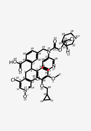 COc1ccc(C(Cc2c(Cl)c[n+]([O-])cc2Cl)c2cc(CN(C(=O)O[C@H]3CN4CCC3CC4)c3cccnc3)ccc2C(=O)O)cc1OCC1CC1